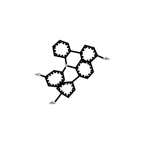 CCCCc1ccc(-c2ccccc2N(c2cccc(O)c2)c2ccccc2-c2ccc(CCCC)cc2)cc1